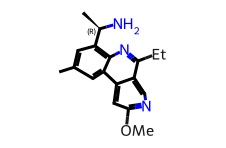 CCc1nc2c([C@@H](C)N)cc(C)cc2c2cc(OC)ncc12